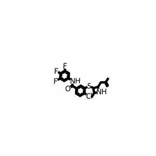 C=C(C)CC1NC(C)C1Sc1cc(C(=O)Nc2cc(F)c(F)c(F)c2)ccc1Cl